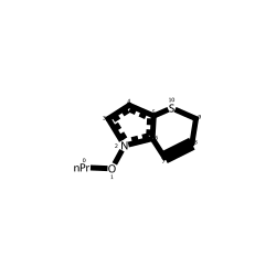 CCCOn1ccc2c1C#CCS2